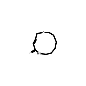 O=C1C=CCCCCCCCCN1